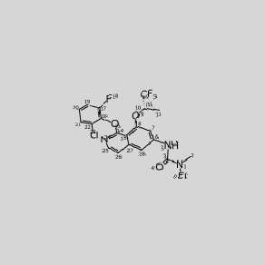 CCN(C)C(=O)Nc1cc(O[C@@H](C)C(F)(F)F)c2c(Oc3c(F)cccc3Cl)nccc2c1